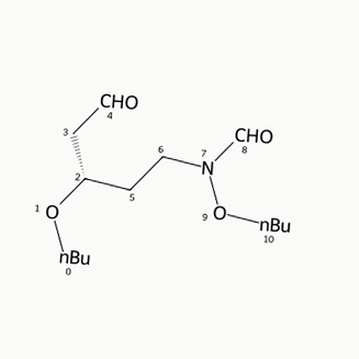 CCCCO[C@H](CC=O)CCN(C=O)OCCCC